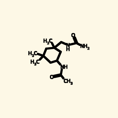 CC(=O)NC1CC(C)(C)CC(C)(CNC(N)=O)C1